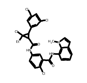 CCC1(Cl)C(C(=O)Nc2ccc(Cl)c(C(=O)Nc3cccc4ccn(C)c34)c2)C1c1cc(Cl)cc(Cl)c1